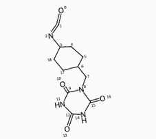 O=C=NC1CCC(Cn2c(=O)[nH]c(=O)[nH]c2=O)CC1